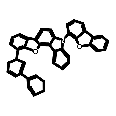 C1=CC(C2=CC(c3cccc4c3oc3c4ccc4c3c3ccccc3n4-c3cccc4c3oc3ccccc34)CC=C2)=CCC1